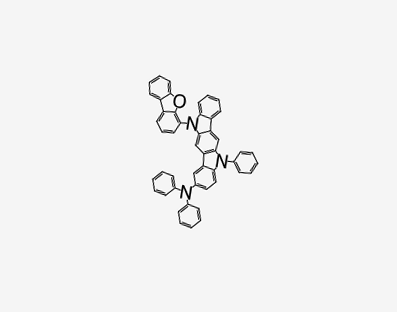 c1ccc(N(c2ccccc2)c2ccc3c(c2)c2cc4c(cc2n3-c2ccccc2)c2ccccc2n4-c2cccc3c2oc2ccccc23)cc1